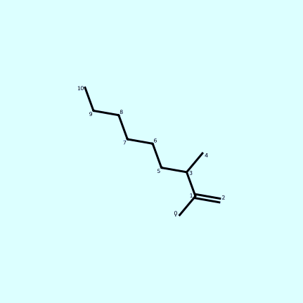 [CH2]C(=C)C(C)CCCCCC